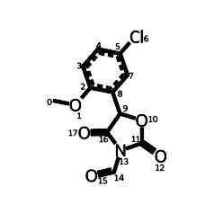 COc1ccc(Cl)cc1C1OC(=O)N(C=O)C1=O